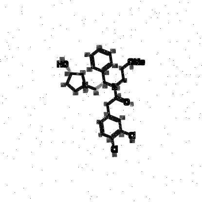 COCCN(C(=O)Cc1ccc(Cl)c(Cl)c1)[C@H](CN1CC[C@H](O)C1)c1ccccc1